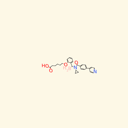 BC(c1ccccc1OCCCCCC(=O)O)N(C(=O)c1ccc(-c2ccncc2)cc1)C1CC1